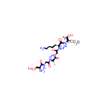 C[C@H](NC(=O)CNC(=O)[C@@H](N)CO)C(=O)NCC(=O)N[C@@H](CCCCN)C(=O)N[C@H](C(=O)O)[C@@H](C)O